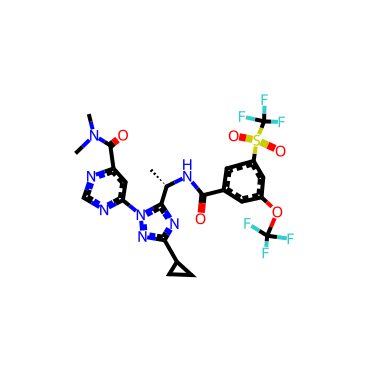 C[C@H](NC(=O)c1cc(OC(F)(F)F)cc(S(=O)(=O)C(F)(F)F)c1)c1nc(C2CC2)nn1-c1cc(C(=O)N(C)C)ncn1